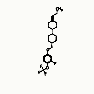 CCC[SiH]1CCC([C@H]2CC[C@H](COc3ccc(OC(F)(F)F)c(F)c3)CC2)CC1